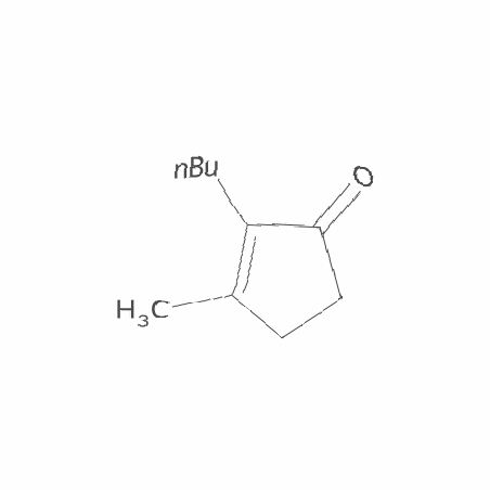 CCCCC1=C(C)CCC1=O